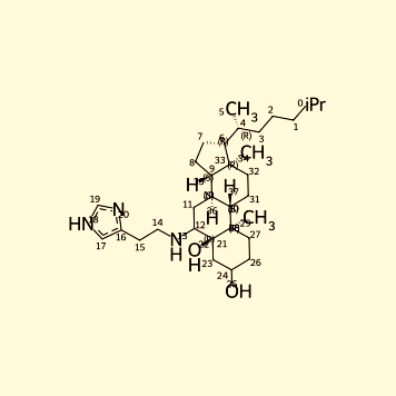 CC(C)CCC[C@@H](C)[C@H]1CC[C@H]2[C@@H]3CC(NCCc4c[nH]cn4)[C@@]4(O)CC(O)CC[C@]4(C)[C@H]3CC[C@]12C